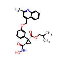 Cc1cc(COc2cccc([C@@]3(C(=O)OCC(C)C)C[C@H]3C(=O)NO)c2)c2ccccc2n1